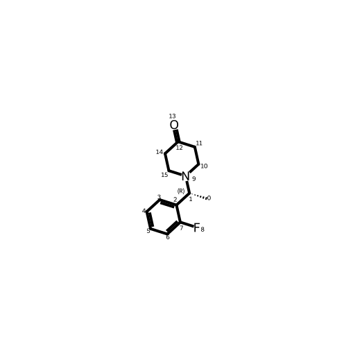 C[C@H](c1ccccc1F)N1CCC(=O)CC1